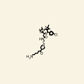 Cc1sc2c(c1C)C(c1ccc(Cl)cc1)=N[C@@H](CC(=O)NCCCN1CCC(C(=O)CCCCCN)CC1)c1nnc(C)n1-2